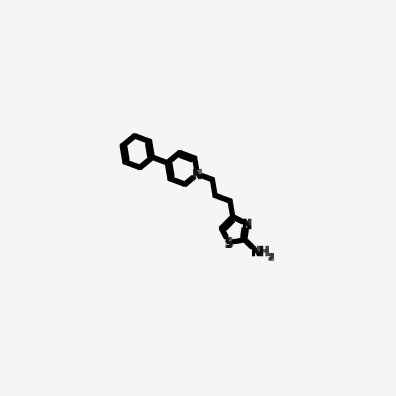 Nc1nc(CCCN2C=CC(C3=CCC=CC3)=CC2)cs1